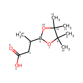 CC(CC(=O)O)B1OC(C)(C)C(C)(C)O1